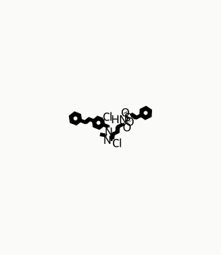 Cc1nc(Cl)c(C=CC(=O)NS(=O)(=O)C=Cc2ccccc2)n1Cc1ccc(C=Cc2ccccc2)cc1Cl